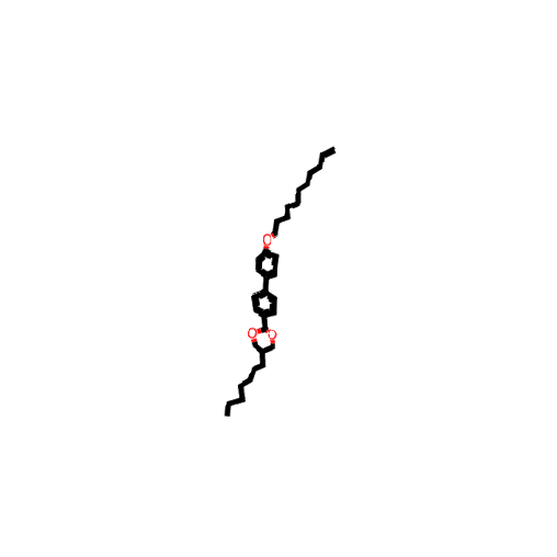 C=CCCCCCCCCCOc1ccc(-c2ccc(C3OCC(CCCCCCC)CO3)cc2)cc1